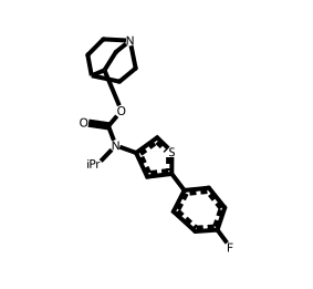 CC(C)N(C(=O)OC1CN2CCC1CC2)c1csc(-c2ccc(F)cc2)c1